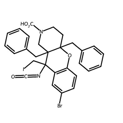 O=C=NC1(CI)c2cc(Br)ccc2OC2(Cc3ccccc3)CCN(C(=O)O)CC21Cc1ccccc1